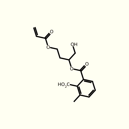 C=CC(=O)OCCC(CO)OC(=O)c1cccc(C)c1C(=O)O